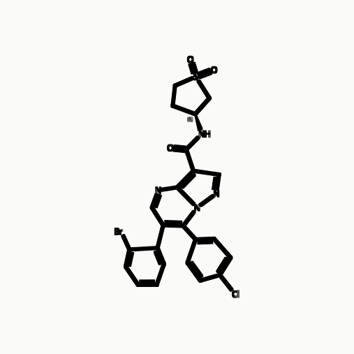 O=C(N[C@H]1CCS(=O)(=O)C1)c1cnn2c(-c3ccc(Cl)cc3)c(-c3ccccc3Br)cnc12